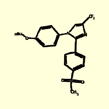 CCCCOc1ccc(-n2cc(C(F)(F)F)nc2-c2ccc(S(C)(=O)=O)cc2)cc1